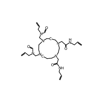 C=CCNC(=O)CN1CCCN(CN(C=O)CC=C)CCN(CN(C=O)CC=C)CCCN(CC(=O)NCC=C)CC1